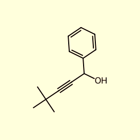 CC(C)(C)C#CC(O)c1ccccc1